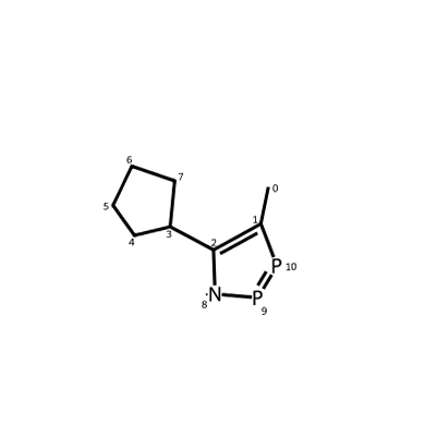 CC1=C(C2CCCC2)[N]P=P1